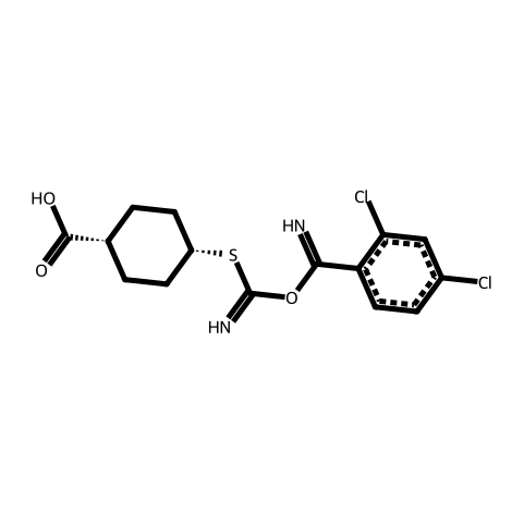 N=C(OC(=N)c1ccc(Cl)cc1Cl)S[C@H]1CC[C@@H](C(=O)O)CC1